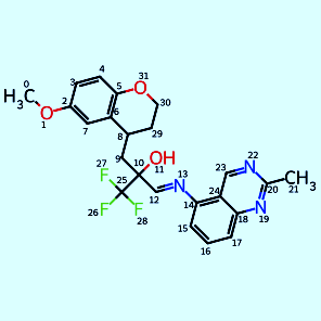 COc1ccc2c(c1)C(CC(O)(/C=N/c1cccc3nc(C)ncc13)C(F)(F)F)CCO2